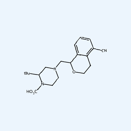 CC(C)(C)C1CN(CC2OCCc3c(C#N)cccc32)CCN1C(=O)O